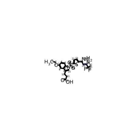 CCOc1ccc2c(c1)c(CCC(=O)O)cn2S(=O)(=O)c1ccc(C(=N)/C=C(\N)C(F)(F)F)s1